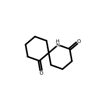 O=C1CCCC2(CCC[CH]C2=O)N1